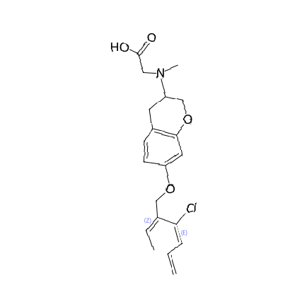 C=C/C=C(Cl)\C(=C/C)COc1ccc2c(c1)OCC(N(C)CC(=O)O)C2